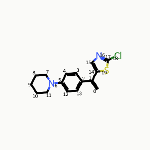 C=C(c1ccc(N2CCCCC2)cc1)c1cnc(Cl)s1